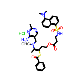 CC(=C(CCOC(=O)CCNS(=O)(=O)c1cccc2c(N(C)C)cccc12)SC(=O)c1ccccc1)N(C=O)Cc1cnc(C)nc1N.Cl